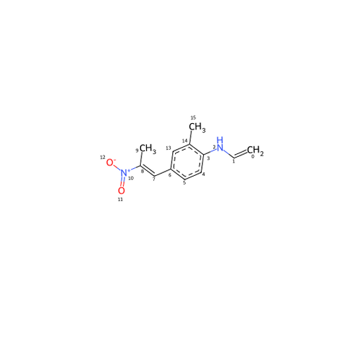 C=CNc1ccc(/C=C(\C)[N+](=O)[O-])cc1C